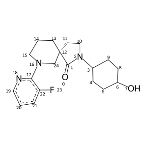 O=C1N(C2CCC(O)CC2)CC[C@]12CCCN(c1ncccc1F)C2